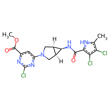 COC(=O)c1cc(N2C[C@@H]3[C@H](C2)[C@@H]3NC(=O)c2[nH]c(C)c(Cl)c2Cl)nc(Cl)n1